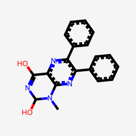 CN1c2nc(-c3ccccc3)c(-c3ccccc3)nc2C(O)=NC1O